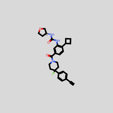 C#Cc1ccc(C2(F)CCN(C(=O)c3ccc(C4CCC4)c(NC(=O)N[C@H]4CCOC4)c3)CC2)cc1